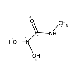 CNC(=O)N(O)O